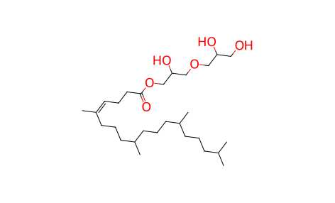 CC(=CCCC(=O)OCC(O)COCC(O)CO)CCCC(C)CCCC(C)CCCC(C)C